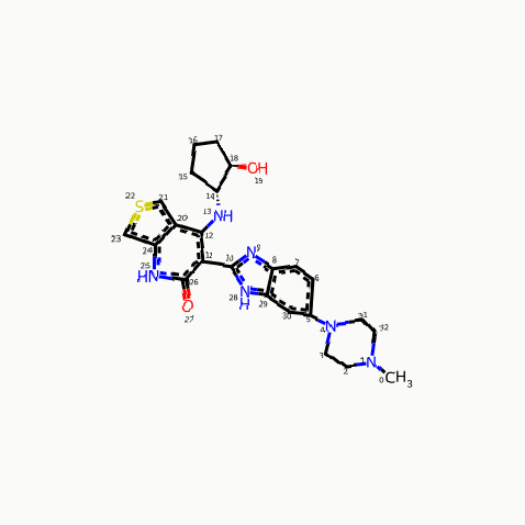 CN1CCN(c2ccc3nc(-c4c(N[C@@H]5CCC[C@H]5O)c5cscc5[nH]c4=O)[nH]c3c2)CC1